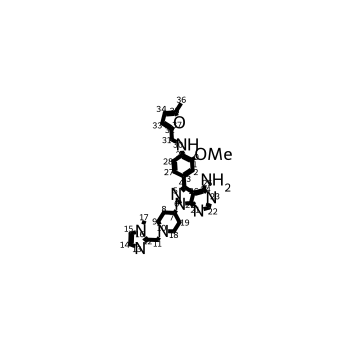 COc1cc(-c2nn(C3CCN(Cc4nccn4C)CC3)c3ncnc(N)c23)ccc1NCc1ccc(C)o1